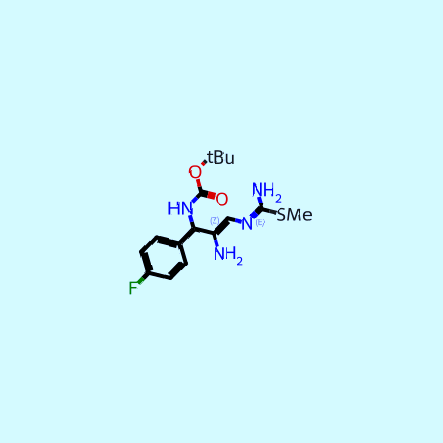 CS/C(N)=N/C=C(\N)C(NC(=O)OC(C)(C)C)c1ccc(F)cc1